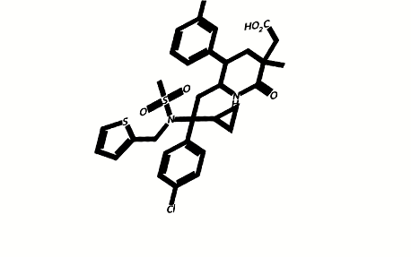 CC1(CC(=O)O)CC(c2cccc(Cl)c2)C(CC(c2ccc(Cl)cc2)(C2CC2)N(Cc2cccs2)S(C)(=O)=O)NC1=O